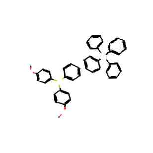 COc1ccc([S+](c2ccccc2)c2ccc(OC)cc2)cc1.c1cc[c]([Ga-]([c]2ccccc2)([c]2ccccc2)[c]2ccccc2)cc1